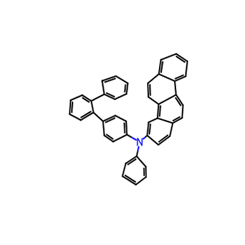 c1ccc(-c2ccccc2-c2ccc(N(c3ccccc3)c3ccc4ccc5c6ccccc6ccc5c4c3)cc2)cc1